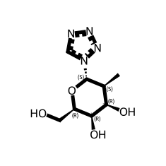 C[C@H]1[C@@H](O)[C@@H](O)[C@@H](CO)O[C@@H]1n1cnnn1